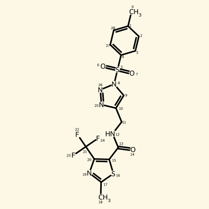 Cc1ccc(S(=O)(=O)n2cc(CNC(=O)c3sc(C)nc3C(F)(F)F)nn2)cc1